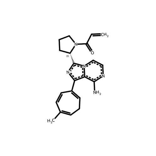 C=CC(=O)N1CCC[C@H]1c1nc(C2=CCC=C(C)C=C2)c2c(N)nccn12